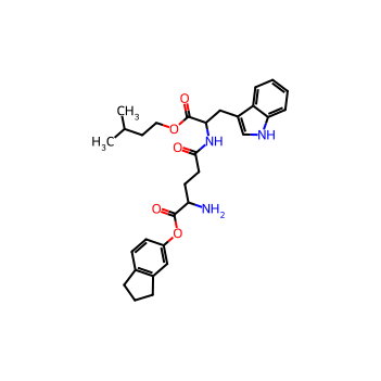 CC(C)CCOC(=O)C(Cc1c[nH]c2ccccc12)NC(=O)CCC(N)C(=O)Oc1ccc2c(c1)CCC2